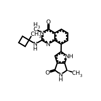 C[C@H]1NC(=O)c2cc(-c3cccc4c(=O)n(C)c(NC5(C)CCC5)nc34)[nH]c21